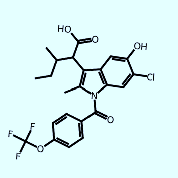 CCC(C)C(C(=O)O)c1c(C)n(C(=O)c2ccc(OC(F)(F)F)cc2)c2cc(Cl)c(O)cc12